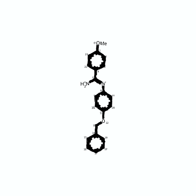 COc1ccc(C(N)=Nc2ccc(OCc3ccccc3)cc2)cc1